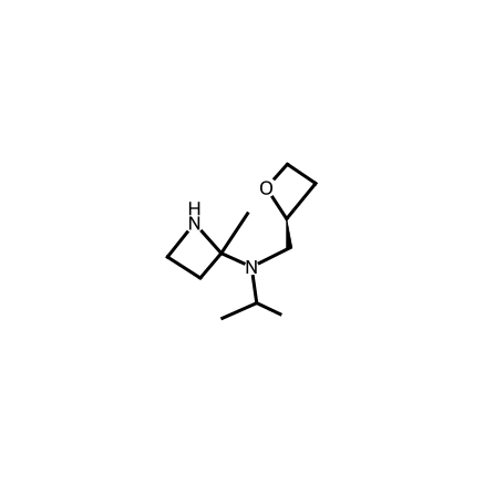 CC(C)N(C[C@@H]1CCO1)C1(C)CCN1